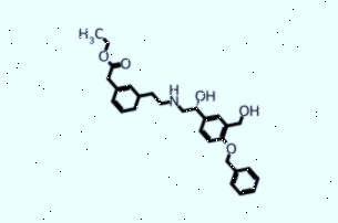 CCOC(=O)CC1=CC(CCNC[C@H](O)c2ccc(OCc3ccccc3)c(CO)c2)CC=C1